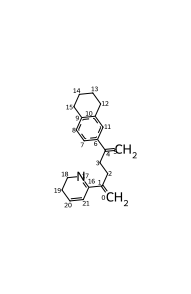 C=C(CCC(=C)c1ccc2c(c1)CCCC2)C1=NCCC=C1